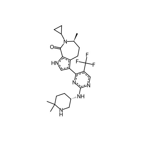 C[C@H]1CCc2c(-c3nc(N[C@H]4CCC(C)(C)NC4)ncc3C(F)(F)F)c[nH]c2C(=O)N1C1CC1